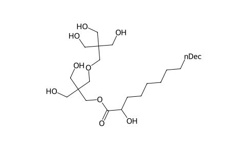 CCCCCCCCCCCCCCCCC(O)C(=O)OCC(CO)(CO)COCC(CO)(CO)CO